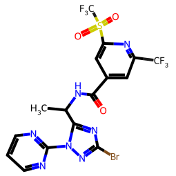 CC(NC(=O)c1cc(C(F)(F)F)nc(S(=O)(=O)C(F)(F)F)c1)c1nc(Br)nn1-c1ncccn1